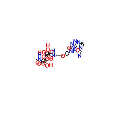 CO[C@@H]1OC(CO)[C@@H](O)C(O[C@@H]2OC(C(=O)NCCCCOc3ccc(NC(=O)n4ccc5c(N(C)C6CN(C(=O)CC#N)CC[C@H]6C)ncnc54)cc3)[C@@H](OC)C(O)C2O)C1NC(C)=O